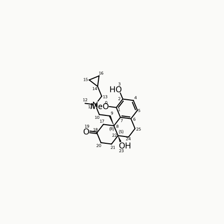 COc1c(O)ccc2c1[C@@]1(CCN(C)CC3CC3)CC(=O)CC[C@@]1(O)CC2